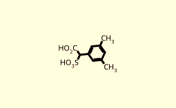 Cc1cc(C)cc(C(C(=O)O)S(=O)(=O)O)c1